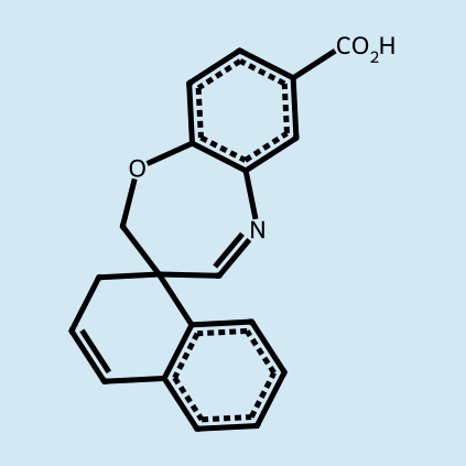 O=C(O)c1ccc2c(c1)N=CC1(CC=Cc3ccccc31)CO2